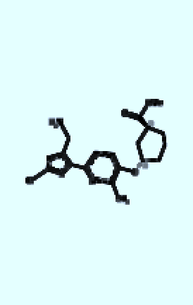 COC(=O)[C@H]1CCC[C@H](Oc2ccc(-c3sc(Cl)cc3CN)nc2C)C1